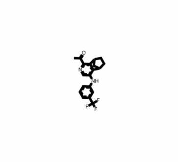 CC(=O)c1ncc(Nc2cccc(C(F)(F)F)c2)c2c1C1CCC2C1